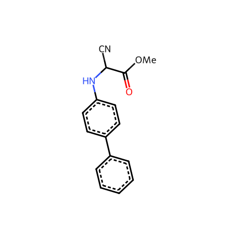 COC(=O)C(C#N)Nc1ccc(-c2ccccc2)cc1